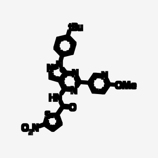 COc1ccc(-c2nc(NC(=O)c3ccc([N+](=O)[O-])s3)c3cnn(-c4ccc(C(C)(C)C)cc4)c3n2)cn1